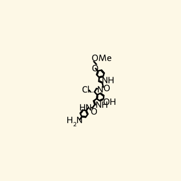 COCCOc1ccc2[nH]c(C(=O)N3C[C@@H](CCl)c4c3cc(O)c3[nH]c(C(=O)Nc5ccc(N)cc5)cc43)cc2c1